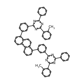 Cc1ccccc1-c1nc(-c2ccccc2)nc(-c2cccc(-c3cccc4c3ccc3c(-c5cccc(-c6nc(-c7ccccc7)nc(-c7ccccc7C)n6)c5)cccc34)c2)n1